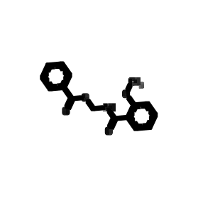 COc1ccccc1C(=O)NCOC(=O)c1ccccc1